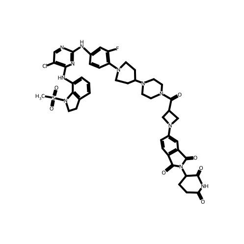 CS(=O)(=O)N1CCc2cccc(Nc3nc(Nc4ccc(N5CCC(N6CCN(C(=O)C7CN(c8ccc9c(c8)C(=O)N(C8CCC(=O)NC8=O)C9=O)C7)CC6)CC5)c(F)c4)ncc3Cl)c21